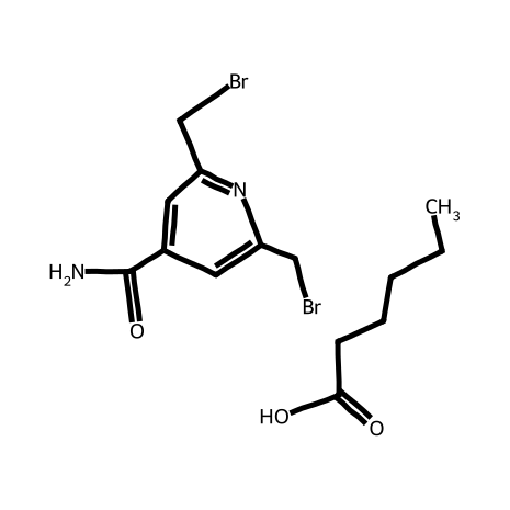 CCCCCC(=O)O.NC(=O)c1cc(CBr)nc(CBr)c1